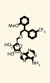 COc1ccccc1C(COC[C@H]1O[C@@H](n2cnc3c(N)ncnc32)[C@H](O)[C@@H]1O)c1cccc(C(F)(F)F)c1